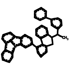 CC(c1cccc(-c2ccccc2)c1)C1Cc2cccc(-c3ccc4c5cccc6c7ccccc7n(c4c3)c65)c2-c2ccccc21